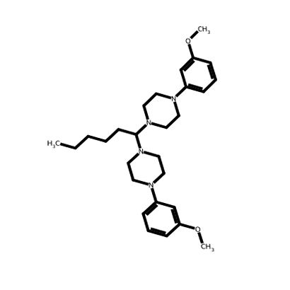 CCCCCC(N1CCN(c2cccc(OC)c2)CC1)N1CCN(c2cccc(OC)c2)CC1